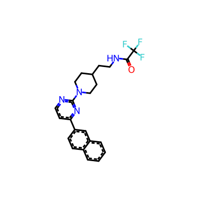 O=C(NCCC1CCN(c2nccc(-c3ccc4ccccc4c3)n2)CC1)C(F)(F)F